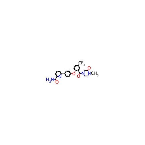 CN1CCN(C(=O)c2cc(C(F)(F)F)ccc2Oc2ccc(-c3cccc(C(N)=O)n3)cc2)CC1=O